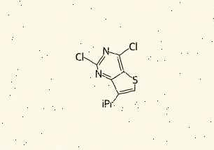 CC(C)c1csc2c(Cl)nc(Cl)nc12